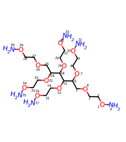 NOCCOCC(OCCON)C(OCCON)C(OCCON)C(COCCON)OCCON